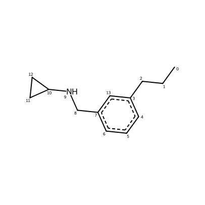 CCCc1cccc(CNC2CC2)c1